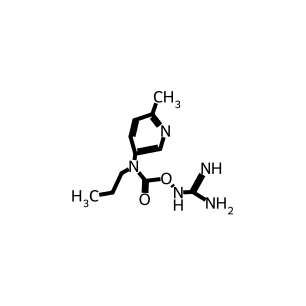 CCCN(C(=O)ONC(=N)N)c1ccc(C)nc1